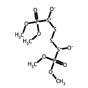 COP(=O)(OC)[S+]([O-])SS[S+]([O-])P(=O)(OC)OC